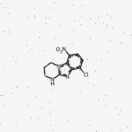 O=[N+]([O-])c1ccc(Cl)c2nc3n(c12)CCCN3